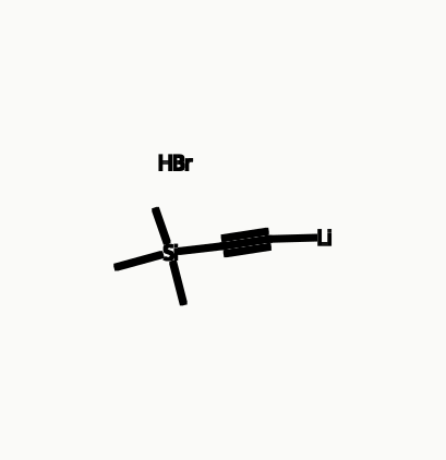 Br.[Li][C]#C[Si](C)(C)C